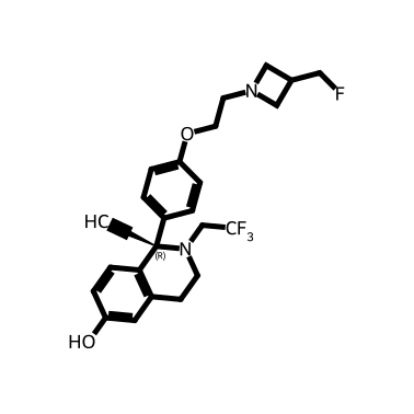 C#C[C@]1(c2ccc(OCCN3CC(CF)C3)cc2)c2ccc(O)cc2CCN1CC(F)(F)F